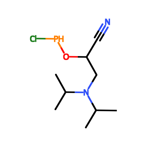 CC(C)N(CC(C#N)OPCl)C(C)C